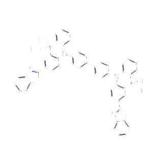 CC1(C)c2ccccc2N(c2ccc(-c3ccc(N4c5ccccc5C(C)(C)c5cc(-c6nc7ccccc7s6)ccc54)cc3)cc2)c2ccc(-c3nc4ccccc4s3)cc21